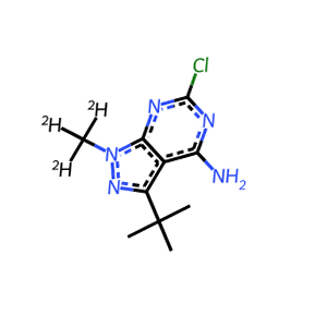 [2H]C([2H])([2H])n1nc(C(C)(C)C)c2c(N)nc(Cl)nc21